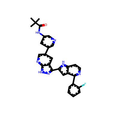 CC(C)(C)C(=O)Nc1cncc(-c2cnc3[nH]nc(-c4cc5c(-c6ccccc6F)nccc5[nH]4)c3c2)c1